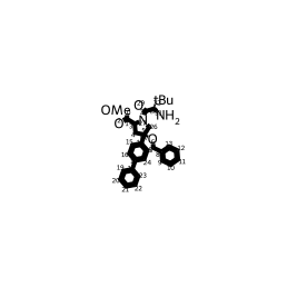 COC(=O)C1C[C@@](OCc2ccccc2)(c2ccc(-c3ccccc3)cc2)CN1C(=O)[C@@H](N)C(C)(C)C